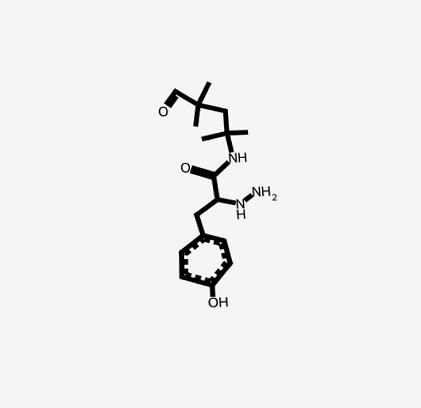 CC(C)(C=O)CC(C)(C)NC(=O)C(Cc1ccc(O)cc1)NN